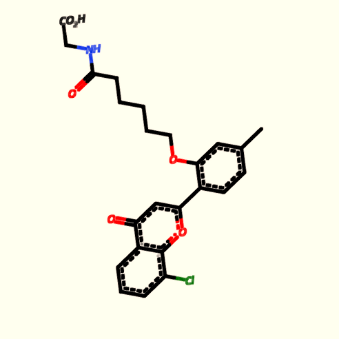 Cc1ccc(-c2cc(=O)c3cccc(Cl)c3o2)c(OCCCCCC(=O)NCC(=O)O)c1